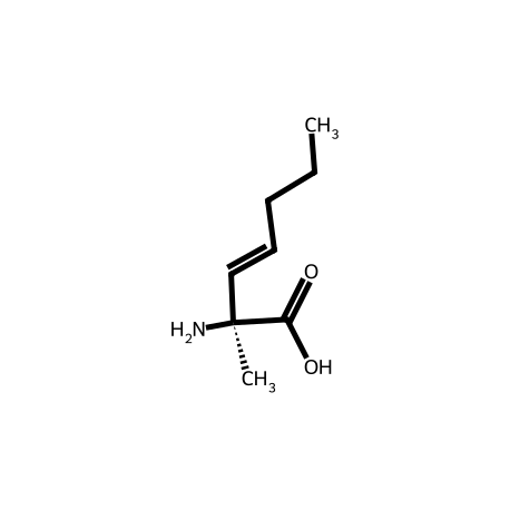 CCCC=C[C@](C)(N)C(=O)O